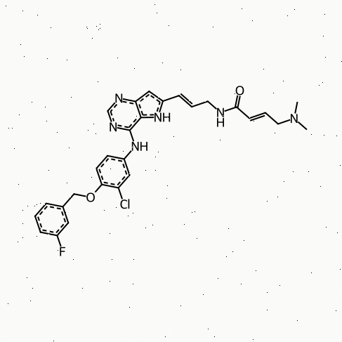 CN(C)CC=CC(=O)NCC=Cc1cc2ncnc(Nc3ccc(OCc4cccc(F)c4)c(Cl)c3)c2[nH]1